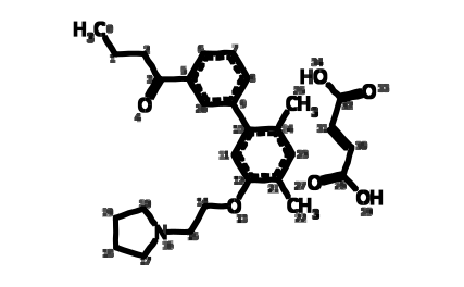 CCCC(=O)c1cccc(-c2cc(OCCN3CCCC3)c(C)cc2C)c1.O=C(O)C=CC(=O)O